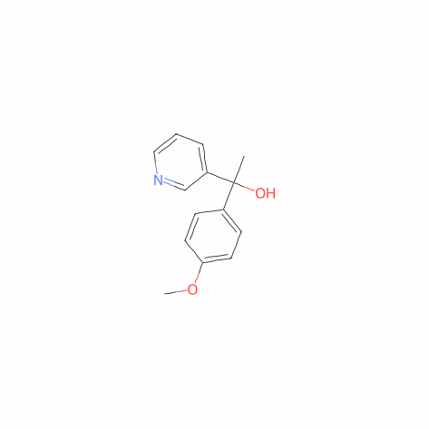 COc1ccc(C(C)(O)c2cccnc2)cc1